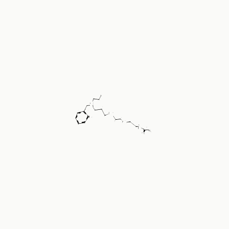 CCCN(CCCOCCOCCNC(=O)O)Cc1ccccc1